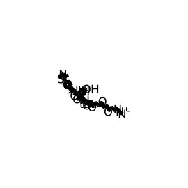 Cc1ncsc1-c1ccc([C@H](C)NC(=O)[C@@H]2C[C@@H](O)CN2C(=O)[C@@H](NC(=O)CC(=O)CCC(=O)CCC(=O)CCN=[N+]=[N-])C(C)(C)C)cc1